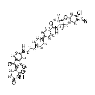 CC1(C)[C@H](NC(=O)c2ccc(N3CCN(CCCNc4ccc5c(c4)C(=O)N(C4CCC(=O)NC4=O)C5=O)CC3)cc2)C(C)(C)[C@H]1Oc1ccc(C#N)c(Cl)c1